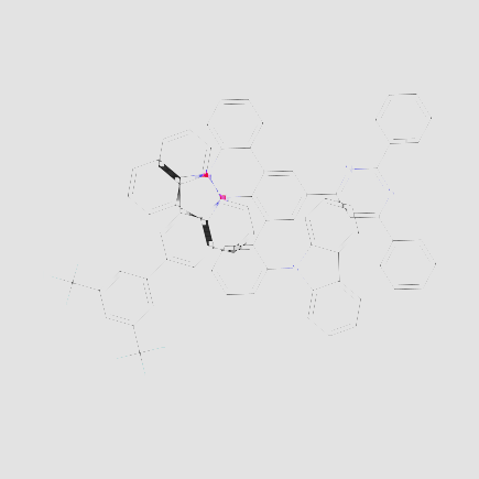 FC(F)(F)c1cc(-c2ccc3c(c2)c2ccccc2n3-c2c(-c3ccccc3-n3c4ccccc4c4ccccc43)cc(-c3cc(-c4ccccc4)nc(-c4ccccc4)n3)cc2-c2ccccc2-n2c3ccccc3c3ccccc32)cc(C(F)(F)F)c1